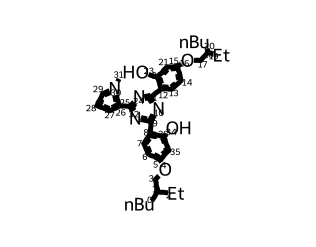 CCCCC(CC)COc1ccc(-c2nc(-c3ccc(OCC(CC)CCCC)cc3O)nc(-c3cccn3C)n2)c(O)c1